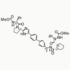 COC(=O)N[C@H](C(=O)N1CCC[C@H]1c1ncc(-c2ccc(-c3ccc([C@H](C)NC(=O)[C@H]4CCCC[C@H]4C(=O)N(NC(=O)OC)C(C)C)cc3)cc2)[nH]1)C(C)C